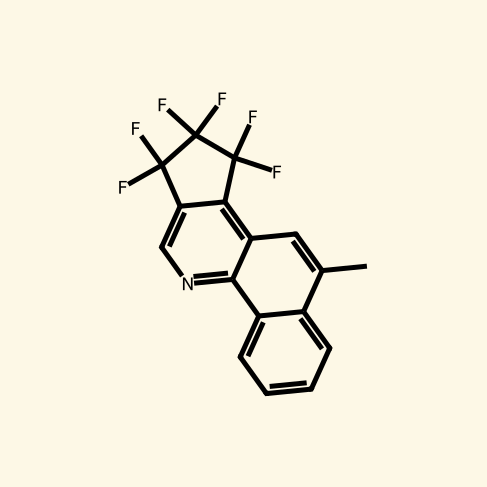 Cc1cc2c3c(cnc2c2ccccc12)C(F)(F)C(F)(F)C3(F)F